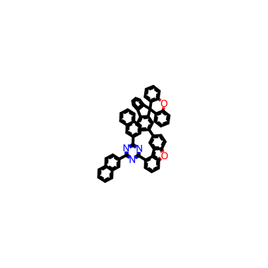 c1ccc2c(c1)Oc1ccccc1C21c2ccccc2-c2ccc(-c3ccc4oc5cccc(-c6nc(-c7ccc8ccccc8c7)nc(-c7ccc8ccccc8c7)n6)c5c4c3)cc21